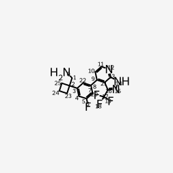 NCC1(c2cc(F)cc(-c3ccnc4[nH]nc(C(F)(F)F)c34)c2)CCC1